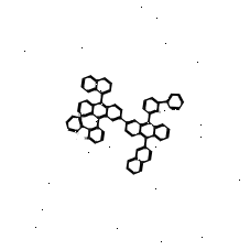 c1ccc2cc(-c3c4ccccc4c(-c4cccc5c4oc4ccccc45)c4cc(-c5ccc6c(-c7cccc8ccccc78)c7ccccc7c(-c7cccc8oc9ccccc9c78)c6c5)ccc34)ccc2c1